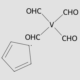 O=[CH][V]([CH]=O)([CH]=O)[CH]=O.[CH]1C=CC=C1